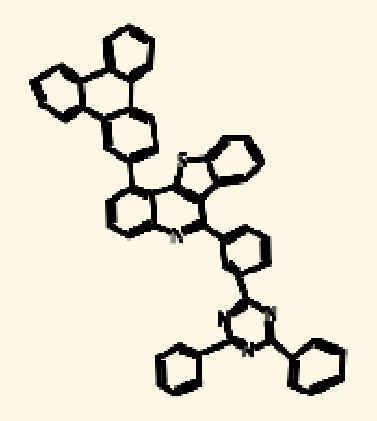 c1ccc(-c2nc(-c3ccccc3)nc(-c3cccc(-c4nc5cccc(-c6ccc7c8ccccc8c8ccccc8c7c6)c5c5sc6ccccc6c45)c3)n2)cc1